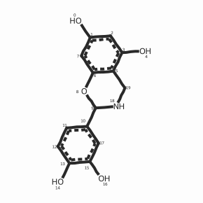 Oc1cc(O)c2c(c1)OC(c1ccc(O)c(O)c1)NC2